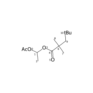 CC(=O)OC(C)OC(=O)C(C)(C)CC(C)(C)C